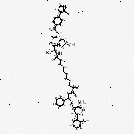 Cc1ncsc1-c1ccc([C@H](C)NC(=O)[C@@H]2C[C@@H](O)CN2C(=O)[C@@H](NC(=O)CCCCCCCCC(=O)N(C)CC(COc2cc(-c3ccccc3O)nnc2N)c2ccccc2)C(C)(C)C)cc1